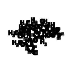 C=C[C@@H]1C[C@]1(NC(=O)[C@@H]1[C@H](C)[C@@H](Oc2ncc(OC)c3ccc(Cl)cc23)CN1C(=O)[C@@H](NC(=O)OC(C)(C)C)C(C)(C)C)C(=O)NS(=O)(=O)C1CC1